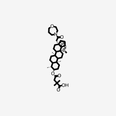 CB(F)[C@]12CCC3[C@@]4(C)CC[C@H](OC(=O)CC(C)(C)C(=O)O)[C@H](C)C4CC[C@@]3(C)C1CC[C@@]1(CC(=O)N3CCCOCC3)CCC[C@@]12S